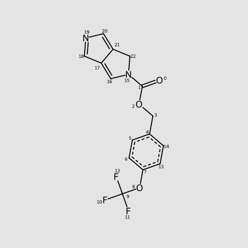 O=C(OCc1ccc(OC(F)(F)F)cc1)N1C=C2C=NC=C2C1